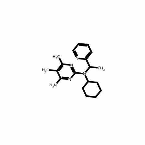 Cc1nc(N(C2CCCCC2)C(C)c2ccccn2)nc(N)c1C